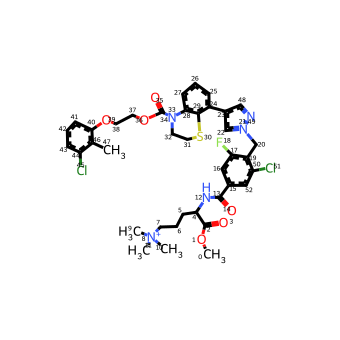 COC(=O)C(CCC[N+](C)(C)C)NC(=O)c1cc(F)c(Cn2cc(-c3cccc4c3SCCN4C(=O)OCCOc3cccc(Cl)c3C)cn2)c(Cl)c1